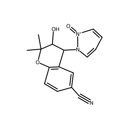 CC1(C)Oc2ccc(C#N)cc2C(n2cccc[n+]2=O)C1O